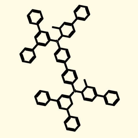 CC1C=C(c2ccccc2)C=CC1N(C1=CC(c2ccccc2)=CC(c2ccccc2)C1)c1ccc(-c2ccc(N(c3cc(-c4ccccc4)cc(-c4ccccc4)c3)C3C=CC(c4ccccc4)=CC3C)cc2)cc1